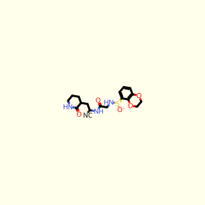 N#CC(CC1CCCNC1=O)NC(=O)CN[S+]([O-])c1cccc2c1OCCO2